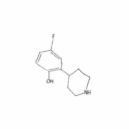 Oc1ccc(F)cc1C1CCNCC1